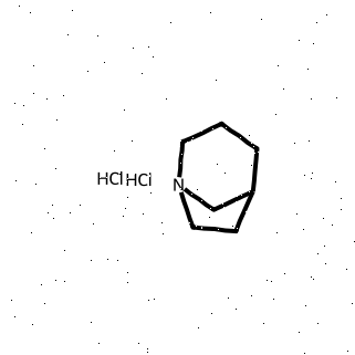 C1CC2CCN(C1)C2.Cl.Cl